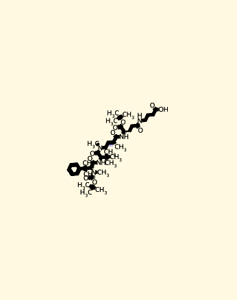 C/C(=C\CN(C)C(=O)C(NC(=O)[C@@H](N(C)C(=O)OC(C)(C)C)C(C)(C)c1ccccc1)C(C)(C)C)C(=O)N[C@H](CCC(=O)NCCCC(=O)O)C(=O)OC(C)(C)C